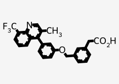 Cc1cnc2c(C(F)(F)F)cccc2c1-c1cccc(OCc2cccc(CC(=O)O)c2)c1